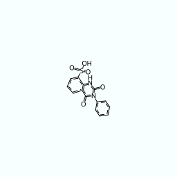 O=c1[nH]c2c(S(=O)(=O)O)cccc2c(=O)n1-c1ccccc1